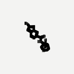 O=C(N[C@H]1CN2CCC1CC2)c1cn2cc(Br)cc2cn1